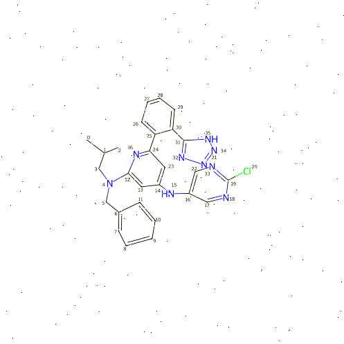 CC(C)CN(Cc1ccccc1)c1cc(Nc2cnc(Cl)nc2)cc(-c2ccccc2-c2nnn[nH]2)n1